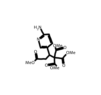 COC(=O)CC(c1ccc(N)nc1)C(C(=O)OC)(C(=O)OC)C(=O)OC